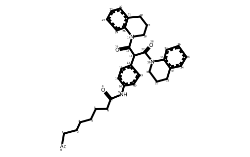 CC(=O)CCCCCCC(=O)Nc1ccc(C(C(=O)N2CCCc3ccccc32)C(=O)N2CCCc3ccccc32)cc1